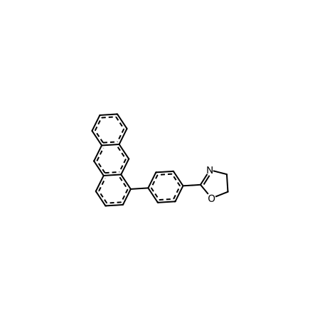 c1ccc2cc3c(-c4ccc(C5=NCCO5)cc4)cccc3cc2c1